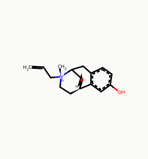 C=CC[N@@+]1(C)CC[C@]23CCCCC2C1Cc1ccc(O)cc13